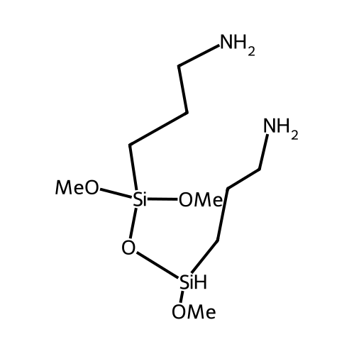 CO[SiH](CCCN)O[Si](CCCN)(OC)OC